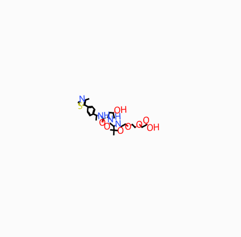 Cc1ncsc1-c1ccc(C(C)NC(=O)[C@@H]2C[C@@H](O)CN2C(=O)C(NC(=O)COCCOCC(=O)O)C(C)(C)C)cc1